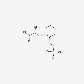 N[C@@H](CC1CCCCC1CCP(=O)(O)O)C(=O)O